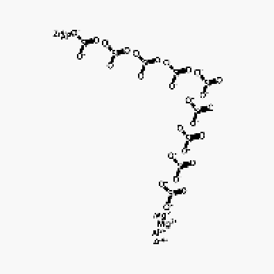 O=[Si]([O-])[O-].O=[Si]([O-])[O-].O=[Si]([O-])[O-].O=[Si]([O-])[O-].O=[Si]([O-])[O-].O=[Si]([O-])[O-].O=[Si]([O-])[O-].O=[Si]([O-])[O-].O=[Si]([O-])[O-].[Al+3].[Al+3].[Mg+2].[Mg+2].[Zr+4].[Zr+4]